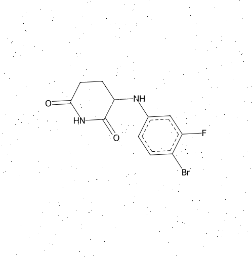 O=C1CCC(Nc2ccc(Br)c(F)c2)C(=O)N1